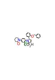 CC1(Cl)C=CC(c2ccccc2OCc2ccccc2)N1c1ccc(N2CCCCC2=O)cc1C(=O)O